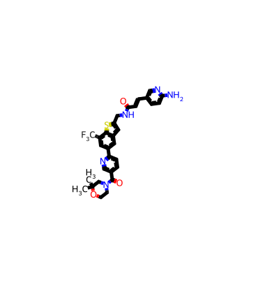 CC1(C)CN(C(=O)c2ccc(-c3cc(C(F)(F)F)c4sc(CNC(=O)/C=C/c5ccc(N)nc5)cc4c3)nc2)CCO1